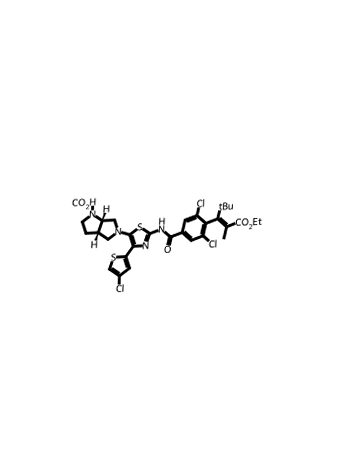 CCOC(=O)/C(C)=C(/c1c(Cl)cc(C(=O)Nc2nc(-c3cc(Cl)cs3)c(N3C[C@@H]4CCN(C(=O)O)[C@@H]4C3)s2)cc1Cl)C(C)(C)C